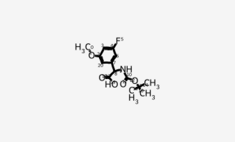 COc1cc(F)cc(C(NC(=O)OC(C)(C)C)C(=O)O)c1